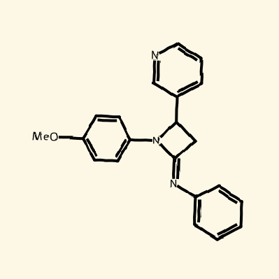 COc1ccc(N2/C(=N/c3ccccc3)CC2c2cccnc2)cc1